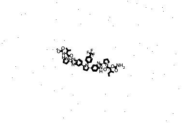 CCC(C)[C@H](OC(N)=O)C(=O)N1CCC[C@H]1c1nc2cc([C@@H]3CC[C@@H](c4ccc5[nH]c([C@@H]6CCCN6C(=O)[C@@H](NC(=O)OC)C(C)C)nc5c4)N3c3ccc(C(F)(F)F)cc3)ccc2[nH]1